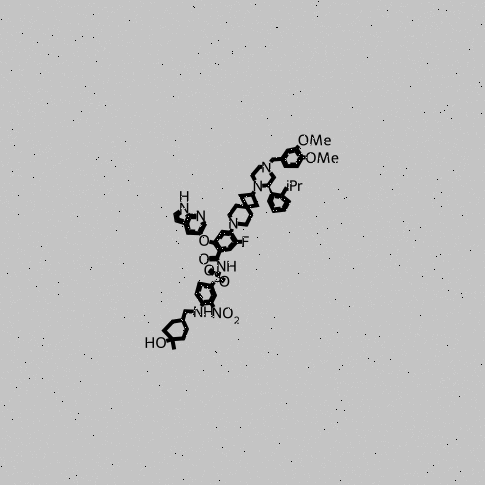 COc1ccc(CN2CCN(C3CC4(CCN(c5cc(Oc6cnc7[nH]ccc7c6)c(C(=O)NS(=O)(=O)c6ccc(NCC7CCC(C)(O)CC7)c([N+](=O)[O-])c6)cc5F)CC4)C3)[C@H](c3ccccc3C(C)C)C2)cc1OC